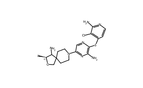 Nc1nc(N2CCC3(CC2)CO[C@@H](I)C3N)cnc1Sc1ccnc(N)c1Cl